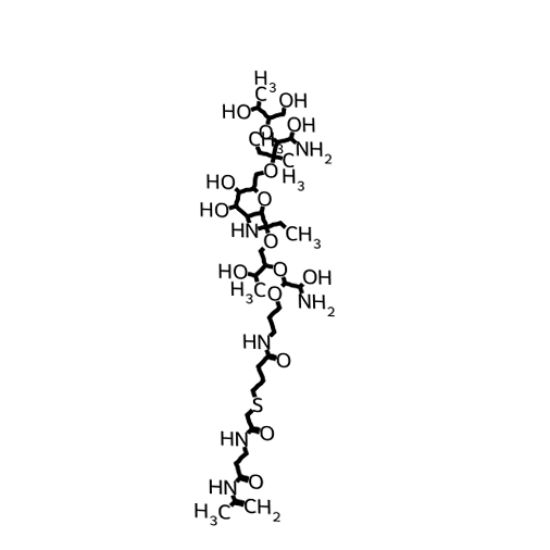 C=C(C)NC(=O)CCNC(=O)CSCCCC(=O)NCCCOC(OC(COC1(CC)NC2C(O)C(O)C(COC(C)(CC)C(OC(CO)C(C)O)C(N)O)OC21)C(C)O)C(N)O